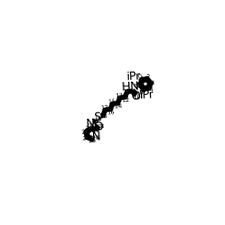 CC(C)c1cccc(C(C)C)c1NC(=O)CCCCCCCCSc1nc2cccnc2o1